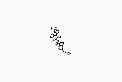 CC1CCc2c1nc1c(c2NC(=O)N=S(N)(=O)c2cnn3c2OCC(OCCO)C3)CCC1